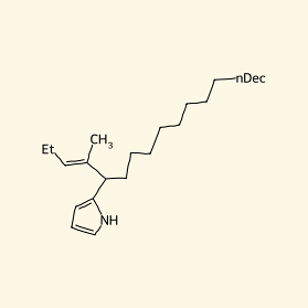 CCC=C(C)C(CCCCCCCCCCCCCCCCCC)c1ccc[nH]1